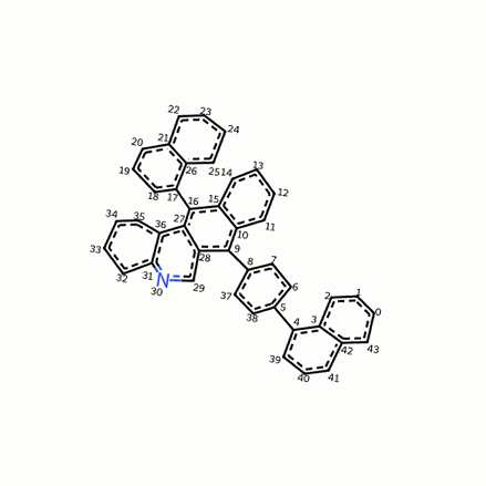 c1ccc2c(-c3ccc(-c4c5ccccc5c(-c5cccc6ccccc56)c5c4cnc4ccccc45)cc3)cccc2c1